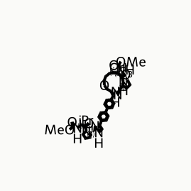 COC(=O)N[C@H](C(=O)N1CCC[C@H]1c1nc(-c2ccc(-c3ccc(-c4nc5[nH]c4COCCC[C@H](C)[C@H](NC(=O)OC)C(=O)N4CCC[C@@H]54)cc3)cc2)c[nH]1)C(C)C